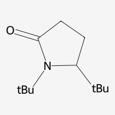 CC(C)(C)C1CCC(=O)N1C(C)(C)C